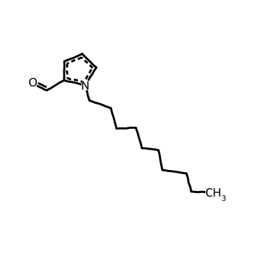 CCCCCCCCCCn1cccc1C=O